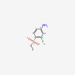 CCS(=O)(=O)c1ccc(N)cc1F